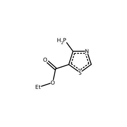 CCOC(=O)c1scnc1P